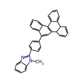 Cn1c(-c2ccc(-c3cc4c(c5ccccc35)-c3ccccc3C3C=CC=CC43)cc2)nc2ccccc21